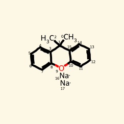 CC1(C)c2ccccc2Oc2ccccc21.[Na].[Na]